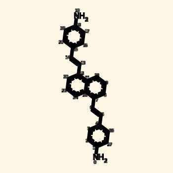 Nc1ccc(C=Cc2cccc3c(C=Cc4ccc(N)cc4)cccc23)cc1